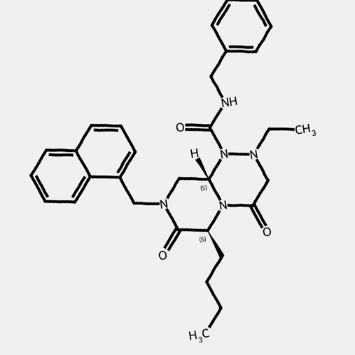 CCCC[C@H]1C(=O)N(Cc2cccc3ccccc23)C[C@H]2N1C(=O)CN(CC)N2C(=O)NCc1ccccc1